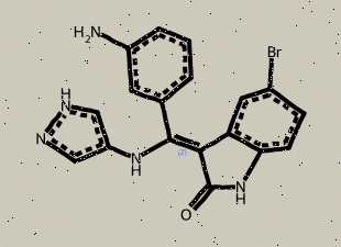 Nc1cccc(/C(Nc2cn[nH]c2)=C2/C(=O)Nc3ccc(Br)cc32)c1